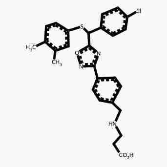 Cc1ccc(SC(c2ccc(Cl)cc2)c2nc(-c3ccc(CNCCC(=O)O)cc3)no2)cc1C